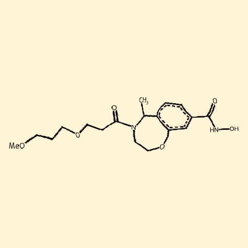 COCCCOCCC(=O)N1CCOc2cc(C(=O)NO)ccc2C1C